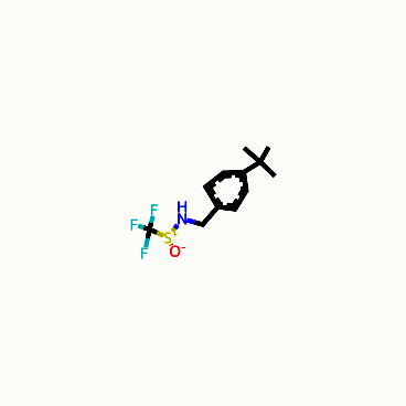 CC(C)(C)c1ccc(CN[S+]([O-])C(F)(F)F)cc1